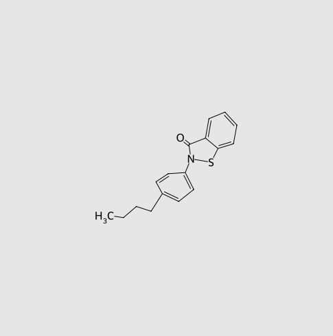 CCCCc1ccc(-n2sc3ccccc3c2=O)cc1